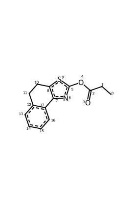 CCC(=O)Oc1nc2c(s1)CCc1ccccc1-2